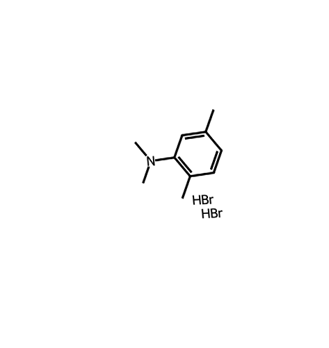 Br.Br.Cc1ccc(C)c(N(C)C)c1